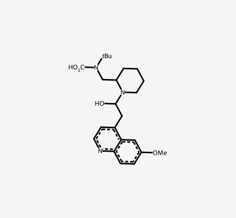 COc1ccc2nccc(CC(O)N3CCCCC3CN(C(=O)O)C(C)(C)C)c2c1